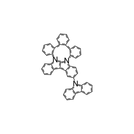 c1ccc2c(c1)c1ccccc1n1c3ccccc3c3c4cc(-n5c6ccccc6c6ccccc65)ccc4n(c4ccccc24)c31